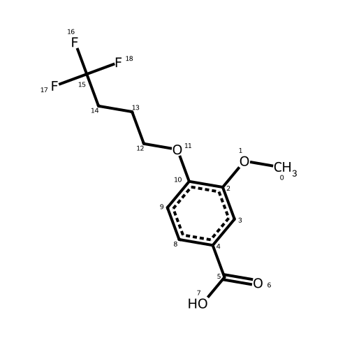 COc1cc(C(=O)O)ccc1OCCCC(F)(F)F